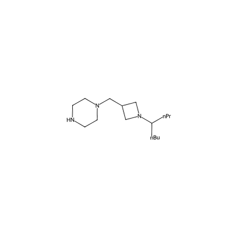 CCCCC(CCC)N1CC(CN2CCNCC2)C1